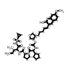 C=C[C@H](C)C(NC(=O)[C@@H]1CCCN1C(=O)C(NC(=O)O[C@@H]1COC[C@H]1CCC/C=C/c1cc2ccc(OC)cc2nc1O)C1CCCC1)C(=O)NS(=O)(=O)C1CC1